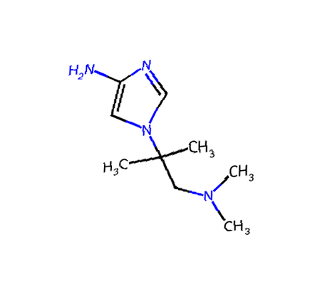 CN(C)CC(C)(C)n1cnc(N)c1